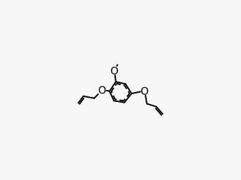 C=CCOc1ccc(OCC=C)c(OC)c1